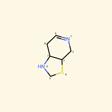 C1=NCC2SCNC2C1